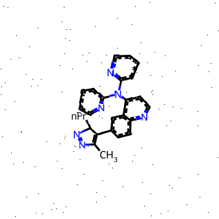 CCCC1N=NC(C)=C1c1ccc2nccc(N(c3ccccn3)c3ccccn3)c2c1